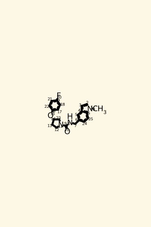 Cn1ccc2cc(CNC(=O)N3CC[C@@H](Oc4ccc(F)cc4)C3)ccc21